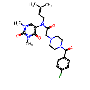 CC(C)=CCN(C(=O)CN1CCN(C(=O)c2ccc(F)cc2)CC1)c1cn(C)c(=O)n(C)c1=O